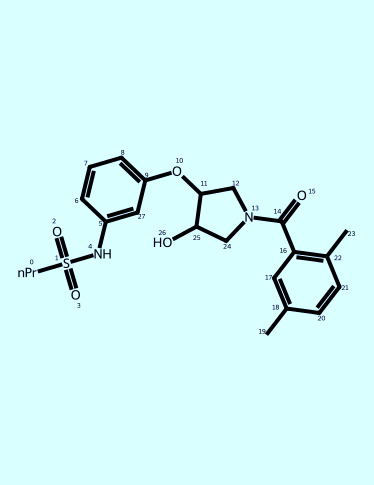 CCCS(=O)(=O)Nc1cccc(OC2CN(C(=O)c3cc(C)ccc3C)CC2O)c1